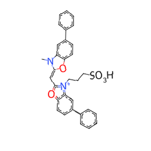 CN1/C(=C/c2oc3ccc(-c4ccccc4)cc3[n+]2CCCS(=O)(=O)O)Oc2ccc(-c3ccccc3)cc21